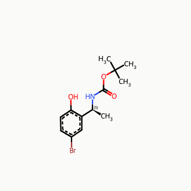 C[C@H](NC(=O)OC(C)(C)C)c1cc(Br)ccc1O